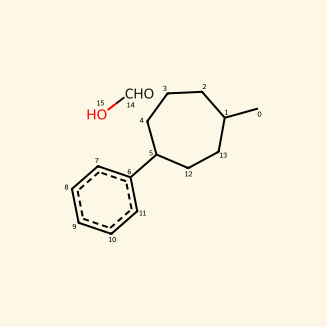 CC1CCCC(c2ccccc2)CC1.O=CO